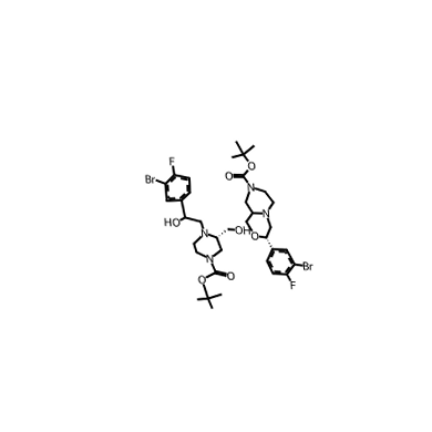 CC(C)(C)OC(=O)N1CCN(CC(O)c2ccc(F)c(Br)c2)[C@H](CO)C1.CC(C)(C)OC(=O)N1CCN2C[C@H](c3ccc(F)c(Br)c3)OCC2C1